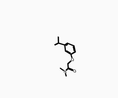 CC(C)c1cccc(OCC(=O)N(C)C)c1